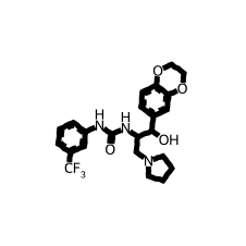 O=C(Nc1cccc(C(F)(F)F)c1)NC(CN1CCCC1)C(O)c1ccc2c(c1)OCCO2